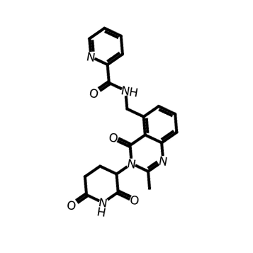 Cc1nc2cccc(CNC(=O)c3ccccn3)c2c(=O)n1C1CCC(=O)NC1=O